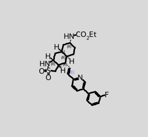 CCOC(=O)N[C@@H]1CC[C@@H]2[C@@H](C1)C[C@H]1NS(=O)(=O)C[C@H]1[C@H]2/C=C/c1ccc(-c2cccc(F)c2)cn1